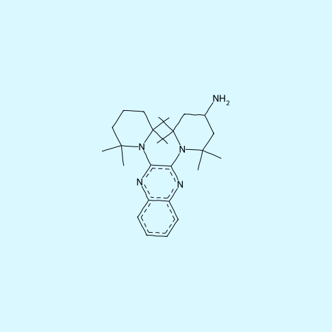 CC1(C)CCCC(C)(C)N1c1nc2ccccc2nc1N1C(C)(C)CC(N)CC1(C)C